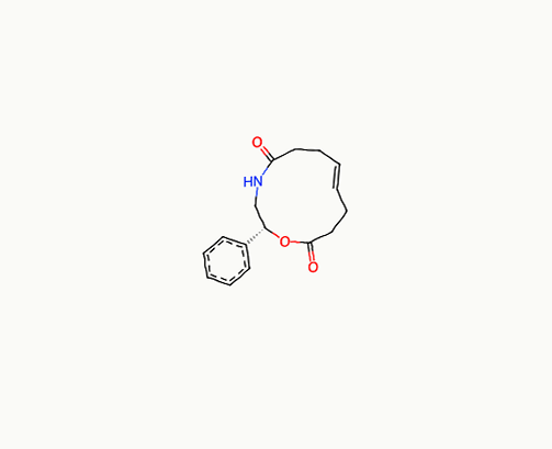 O=C1CC/C=C/CCC(=O)O[C@H](c2ccccc2)CN1